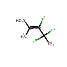 O=S(=O)(O)C(=C(F)C(F)(F)C(F)(F)F)C(F)(F)F